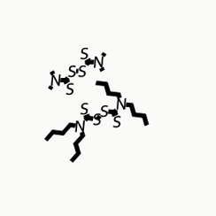 CCCCN(CCCC)C(=S)SSC(=S)N(CCCC)CCCC.CN(C)C(=S)SSC(=S)N(C)C